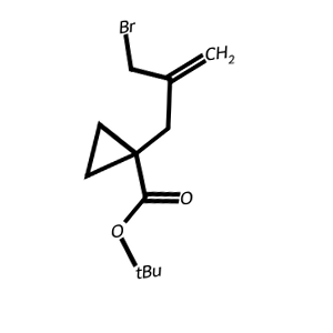 C=C(CBr)CC1(C(=O)OC(C)(C)C)CC1